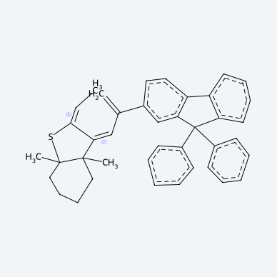 C=C(/C=C1\C(=C/C)SC2(C)CCCCC12C)c1ccc2c(c1)C(c1ccccc1)(c1ccccc1)c1ccccc1-2